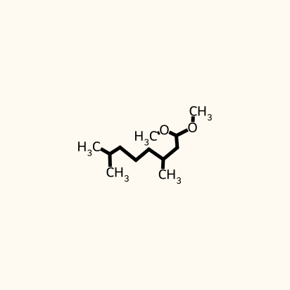 COC(CC(C)CCCC(C)C)OC